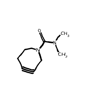 CN(C)C(=O)N1CC#CCC1